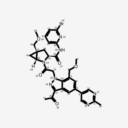 COCc1cc(-c2cnc(C)nc2)cc2c(C(C)=O)nn(CC(=O)N3[C@H](C(=O)Nc4cccc(Br)n4)C[C@@]4(COC)C[C@@H]34)c12